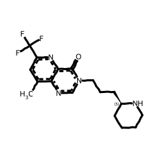 Cc1cc(C(F)(F)F)nc2c(=O)n(CCC[C@@H]3CCCCN3)cnc12